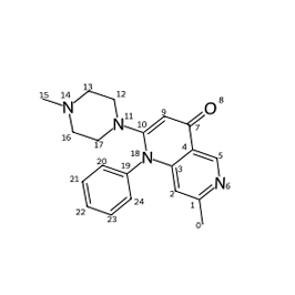 Cc1cc2c(cn1)c(=O)cc(N1CCN(C)CC1)n2-c1ccccc1